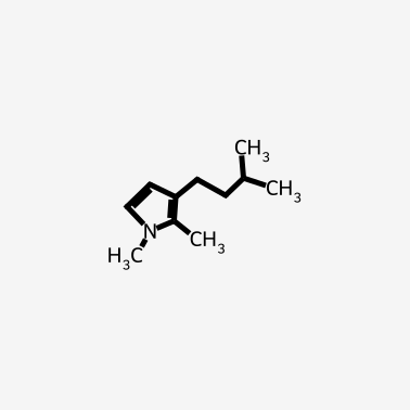 Cc1c(CCC(C)C)ccn1C